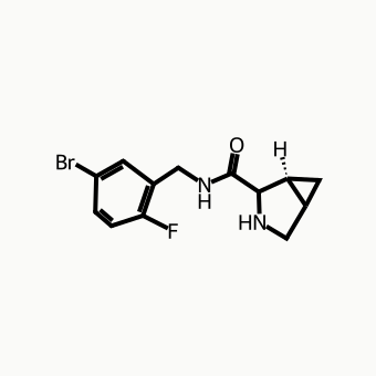 O=C(NCc1cc(Br)ccc1F)C1NCC2C[C@@H]21